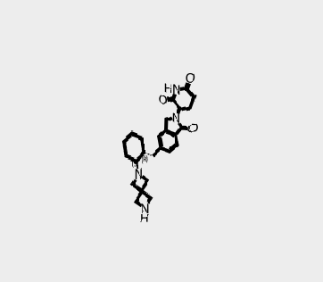 O=C1CCC(N2Cc3cc(C[C@H]4CCCC[C@@H]4N4CC5(CNC5)C4)ccc3C2=O)C(=O)N1